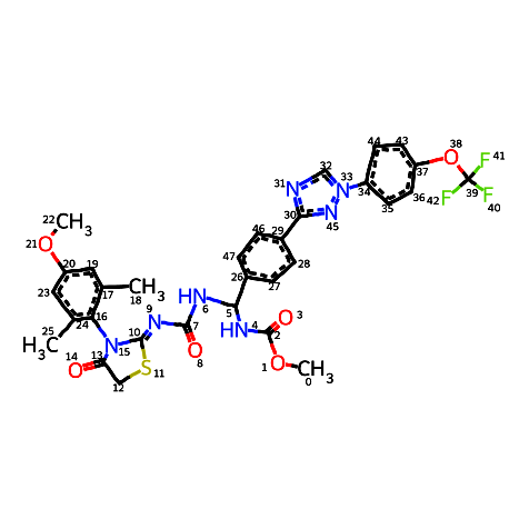 COC(=O)NC(NC(=O)/N=C1\SCC(=O)N1c1c(C)cc(OC)cc1C)c1ccc(-c2ncn(-c3ccc(OC(F)(F)F)cc3)n2)cc1